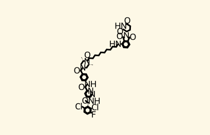 C[C@@H]1CN(C(=O)c2ccc(NC(=O)c3cc4c(nn3)N[C@H](c3c(Cl)ccc(F)c3Cl)O4)cc2)C[C@H](C)N1C(=O)CCCCCCCCCNc1cccc2c1C(=O)N(C1CCC(=O)NC1=O)C2=O